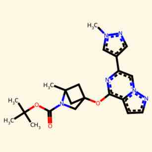 Cn1cc(-c2cn3nccc3c(OC34CN(C(=O)OC(C)(C)C)C(C)(C3)C4)n2)cn1